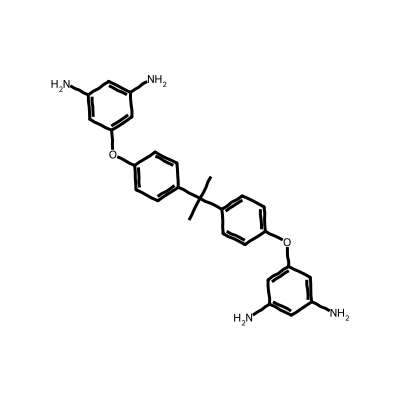 CC(C)(c1ccc(Oc2cc(N)cc(N)c2)cc1)c1ccc(Oc2cc(N)cc(N)c2)cc1